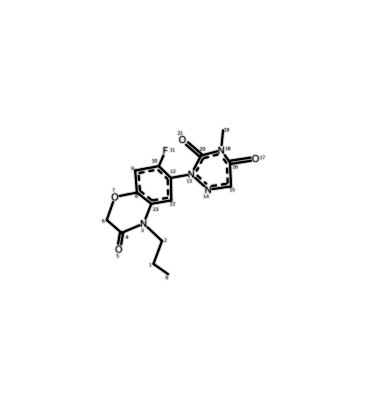 CCCN1C(=O)COc2cc(F)c(-n3ncc(=O)n(C)c3=O)cc21